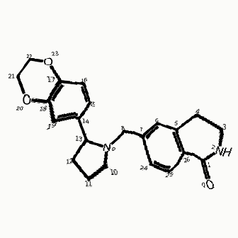 O=C1NCCc2cc(CN3CCCC3c3ccc4c(c3)OCCO4)ccc21